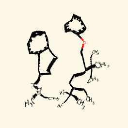 CC=C(C=C(COc1ccccc1)C(C)(C)C)C(C)(C)C.C[SiH](C)[Ti][CH]1C=Cc2ccccc21